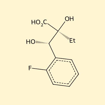 CC[C@@](O)(C(=O)O)[C@@H](O)c1ccccc1F